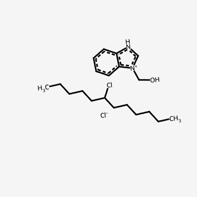 CCCCCCC(Cl)CCCCC.OC[n+]1c[nH]c2ccccc21.[Cl-]